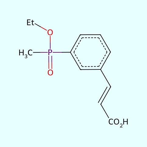 CCOP(C)(=O)c1cccc(C=CC(=O)O)c1